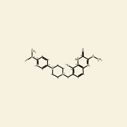 COc1nc2ccc(CN3CCN(c4ccc(N(C)F)nc4)CC3)c(F)c2[nH]c1=O